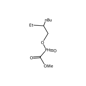 CCCCC(CC)CO[PH](=O)C(=O)OC